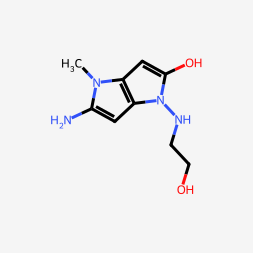 Cn1c(N)cc2c1cc(O)n2NCCO